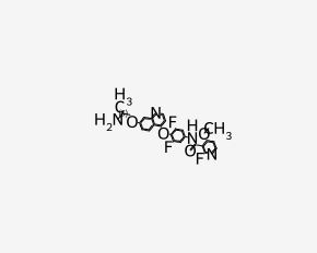 COc1ccnc(F)c1C(=O)Nc1cc(F)c(Oc2ccnc3cc(OC[C@H](C)N)ccc23)c(F)c1